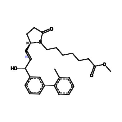 COC(=O)CCCCCCN1C(=O)CC[C@@H]1/C=C/C(O)c1cccc(-c2ccccc2C)c1